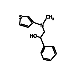 CN(CC(O)c1ccccc1)c1ccsc1